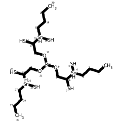 CCC[CH2][SnH]([SH])[CH](S)COB(OC[CH](S)[SnH]([SH])[CH2]CCC)OC[CH](S)[SnH]([SH])[CH2]CCC